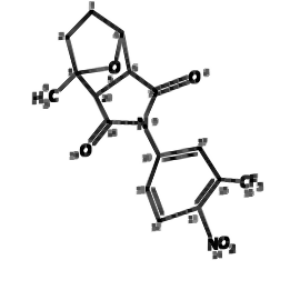 CC12CCC(O1)C1C(=O)N(c3ccc([N+](=O)[O-])c(C(F)(F)F)c3)C(=O)C12